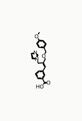 COc1ccc(COCC(=Cc2cccc(C(=O)O)c2)Cn2ccnc2)cc1